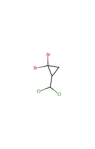 ClC(Cl)C1CC1(Br)Br